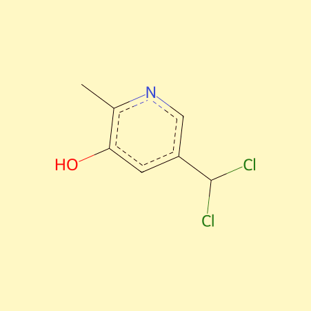 Cc1ncc(C(Cl)Cl)cc1O